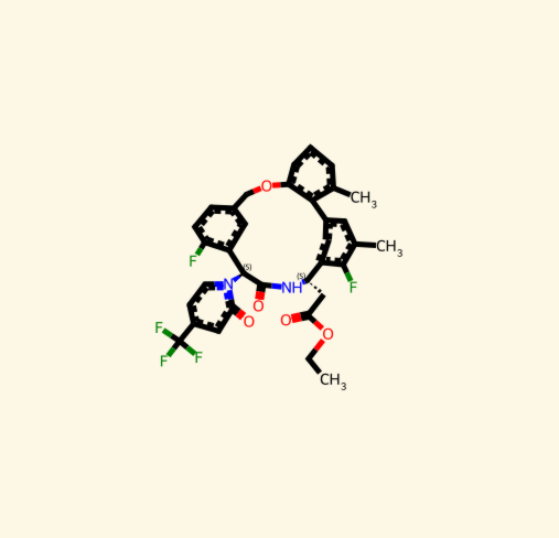 CCOC(=O)C[C@@H]1NC(=O)[C@@H](n2ccc(C(F)(F)F)cc2=O)c2cc(ccc2F)COc2cccc(C)c2-c2cc(C)c(F)c1c2